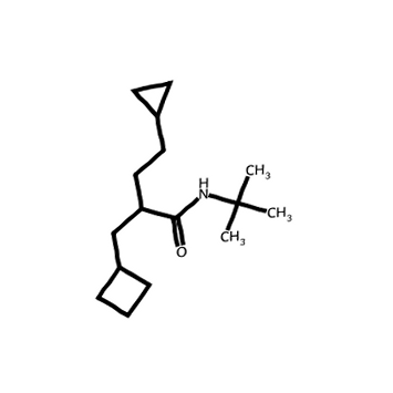 CC(C)(C)NC(=O)C(CCC1CC1)CC1CCC1